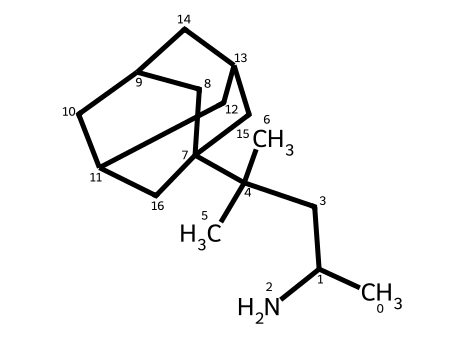 CC(N)CC(C)(C)C12CC3CC(CC(C3)C1)C2